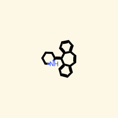 C1=Cc2ccccc2C(=C2CCCCN2)c2ccccc21